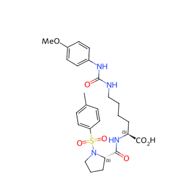 COc1ccc(NC(=O)NCCCC[C@H](NC(=O)[C@@H]2CCCN2S(=O)(=O)c2ccc(C)cc2)C(=O)O)cc1